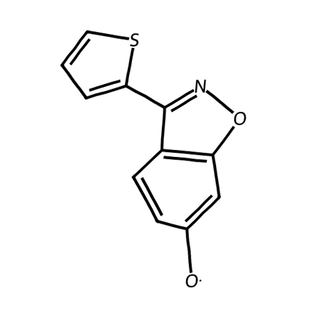 [O]c1ccc2c(-c3cccs3)noc2c1